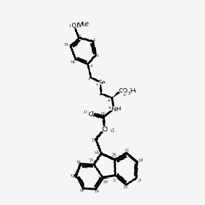 COc1ccc(C[Se]C[C@H](NC(=O)OCC2c3ccccc3-c3ccccc32)C(=O)O)cc1